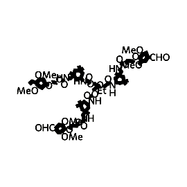 C=Cc1c(OC)cc(OCCOC(=O)NCC2(C)CC(NC(=O)OCC(CC)(COC(=O)NC3CC(C)(C)CC(C)(CNC(=O)OCCOc4c(OC)cc(C=O)cc4OC)C3)OCC(=O)NC3CC(C)(C)CC(C)(CNC(=O)OCCOc4c(OC)cc(C=O)cc4OC)C3)CC(C)(C)C2)cc1OC